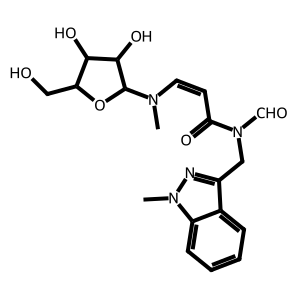 CN(/C=C\C(=O)N(C=O)Cc1nn(C)c2ccccc12)C1OC(CO)C(O)C1O